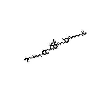 C=CC(=O)CCOCCCCOc1ccc(CCCOc2ccc(OCCCc3ccc(OCCCCCCOC(=O)C=C)cc3F)c(C(F)(F)F)c2C(F)(F)F)c(F)c1